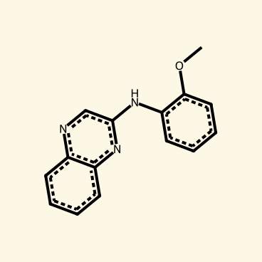 COc1ccccc1Nc1cnc2ccccc2n1